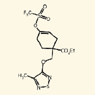 CCOC(=O)C1(COc2nsnc2C)CC=C(OS(=O)(=O)C(F)(F)F)CC1